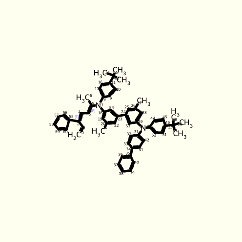 C=C/C(=C\C=C(/C)N(c1ccc(C(C)(C)C)cc1)c1cc(C)cc(-c2cc(C)cc(N(c3ccc(-c4ccccc4)cc3)c3ccc(C(C)(C)C)cc3)c2)c1)c1ccccc1